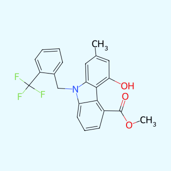 COC(=O)c1cccc2c1c1c(O)cc(C)cc1n2Cc1ccccc1C(F)(F)F